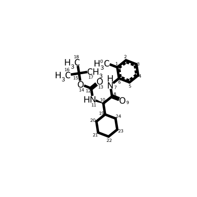 Cc1ccccc1NC(=O)[C@H](NC(=O)OC(C)(C)C)C1CCCCC1